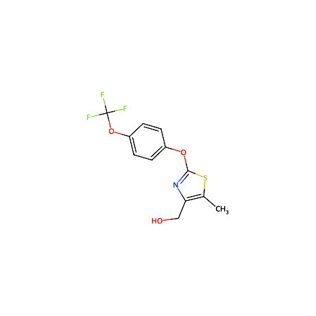 Cc1sc(Oc2ccc(OC(F)(F)F)cc2)nc1CO